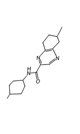 CC1CCC(NC(=O)c2cnc3c(n2)CCC(C)C3)CC1